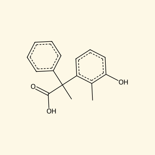 Cc1c(O)cccc1C(C)(C(=O)O)c1ccccc1